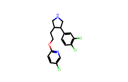 Clc1ccc(OCCC2CNCC2c2ccc(Cl)c(Cl)c2)nc1